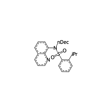 CCCCCCCCCCN(c1cccc2cccnc12)S(=O)(=O)c1ccccc1C(C)C